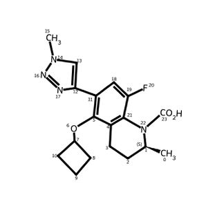 C[C@H]1CCc2c(OC3CCC3)c(-c3cn(C)nn3)cc(F)c2N1C(=O)O